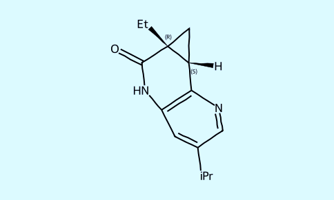 CC[C@@]12C[C@@H]1c1ncc(C(C)C)cc1NC2=O